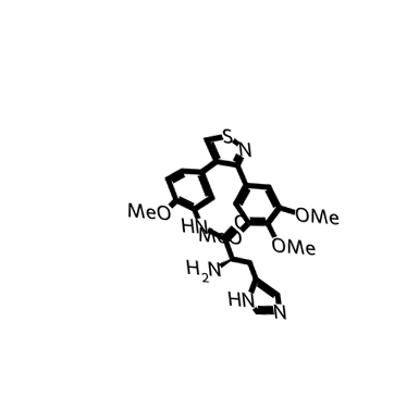 COc1ccc(-c2csnc2-c2cc(OC)c(OC)c(OC)c2)cc1NC(=O)[C@H](N)Cc1cnc[nH]1